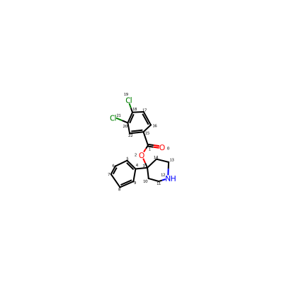 O=C(OC1(c2ccccc2)CCNCC1)c1ccc(Cl)c(Cl)c1